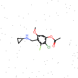 COc1cc(OC(C)=O)c(Cl)c(F)c1CNC1CC1